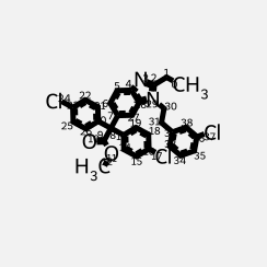 CCc1nc2ccc(C(C(=O)OC)(c3ccc(Cl)cc3)c3ccc(Cl)cc3)cc2n1CCc1cccc(Cl)c1